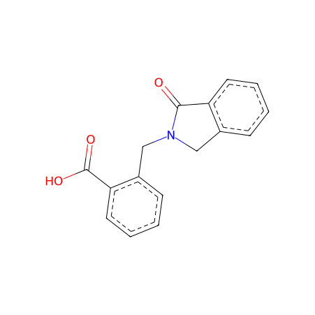 O=C(O)c1ccccc1CN1Cc2ccccc2C1=O